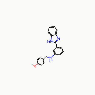 COc1ccc(CNc2cccc(-c3nc4ccccc4[nH]3)c2)cc1